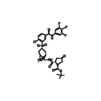 C[C@H]1CC2C[C@@H](S(=O)(=O)c3cc(C(=O)Nc4cc(F)c(F)c(F)c4)ccc3Cl)CC1[C@@]2(O)CNC(=O)[C@@H]1CC(=O)CN1C(=O)OC(C)(C)C